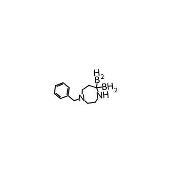 BC1(B)CCN(Cc2ccccc2)CCN1